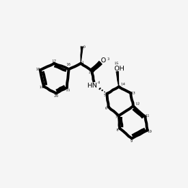 C[C@@H](C(=O)N[C@H]1Cc2ccccc2C[C@@H]1O)c1ccccc1